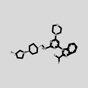 FC(F)c1nc2ccccc2n1-c1cc(N2CCOCC2)nc(NC[C@H]2CC[C@H](N3CC[C@H](F)C3)CC2)n1